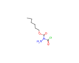 CCCCCCOC(=O)N(N)C(=O)Cl